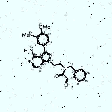 C=CC(=O)N(CCn1nc(-c2ccc(OC)c(NC)c2)c2c(N)ncnc21)Cc1ccccc1